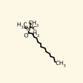 CCCCCCCCCCCCCC(=O)N(CC)N(C)C